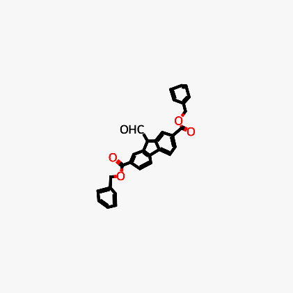 O=CC1c2cc(C(=O)OCc3ccccc3)ccc2-c2ccc(C(=O)OCc3ccccc3)cc21